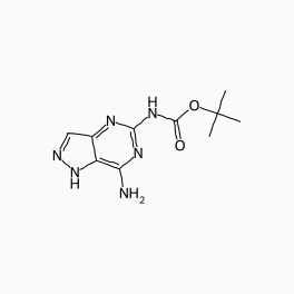 CC(C)(C)OC(=O)Nc1nc(N)c2[nH]ncc2n1